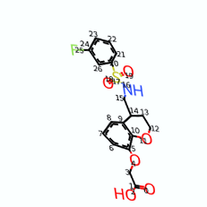 O=C(O)COc1cccc2c1OCCC2CNS(=O)(=O)c1cccc(F)c1